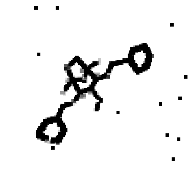 CO[C@H]1[C@@H](OCc2ccccc2)[C@@H]2OC[C@@H](O2)[C@H]1OCc1ccccc1